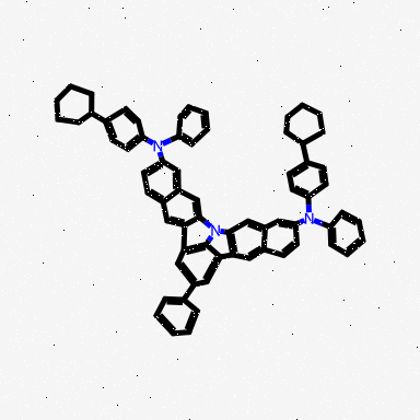 c1ccc(-c2cc3c4cc5ccc(N(c6ccccc6)c6ccc(C7CCCCC7)cc6)cc5cc4n4c5cc6cc(N(c7ccccc7)c7ccc(C8CCCCC8)cc7)ccc6cc5c(c2)c34)cc1